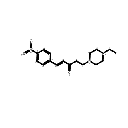 CCN1CCN(CCC(=O)C=Cc2ccc([N+](=O)[O-])cc2)CC1